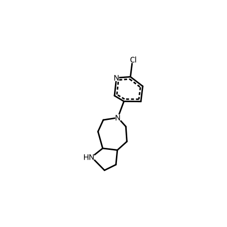 Clc1ccc(N2CCC3CCNC3CC2)cn1